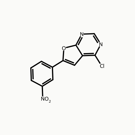 O=[N+]([O-])c1cccc(-c2cc3c(Cl)ncnc3o2)c1